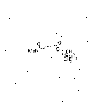 CNC(=O)CCCCC(=O)OCC[Si](C)(C)C